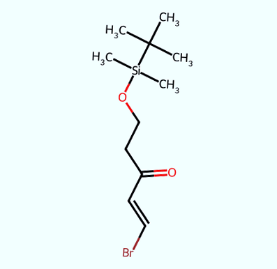 CC(C)(C)[Si](C)(C)OCCC(=O)C=CBr